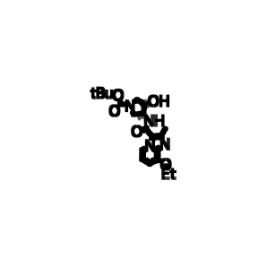 CCOc1cccn2c(C(=O)N[C@@H]3CN(C(=O)OC(C)(C)C)C[C@H]3O)c(C)nc12